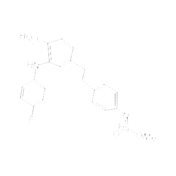 CO[SH](=O)=Nc1ccc(CCc2ccc(C(=O)O)c(Nc3ccc(F)cc3)c2)cc1